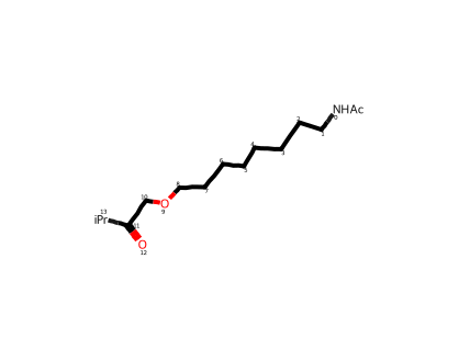 CC(=O)NCCCCCCCCOCC(=O)C(C)C